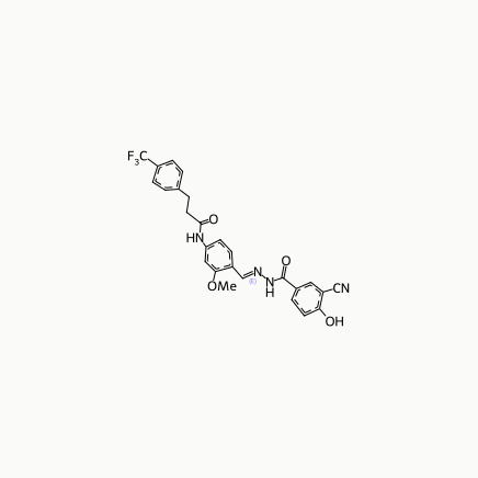 COc1cc(NC(=O)CCc2ccc(C(F)(F)F)cc2)ccc1/C=N/NC(=O)c1ccc(O)c(C#N)c1